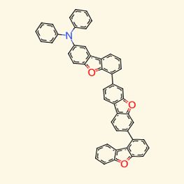 c1ccc(N(c2ccccc2)c2ccc3oc4c(-c5ccc6c(c5)oc5cc(-c7cccc8oc9ccccc9c78)ccc56)cccc4c3c2)cc1